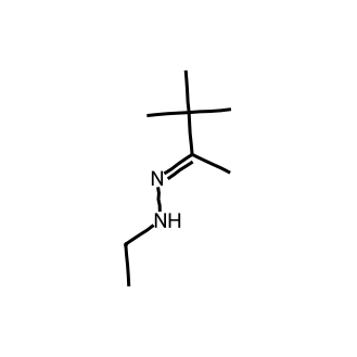 CCN/N=C(\C)C(C)(C)C